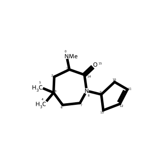 CNC1CC(C)(C)CCN(C2CC=CC2)C1=O